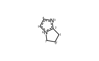 [C]1Cc2nccn2C1